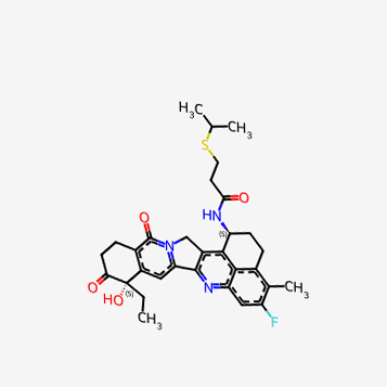 CC[C@@]1(O)C(=O)CCc2c1cc1n(c2=O)Cc2c-1nc1cc(F)c(C)c3c1c2[C@@H](NC(=O)CCSC(C)C)CC3